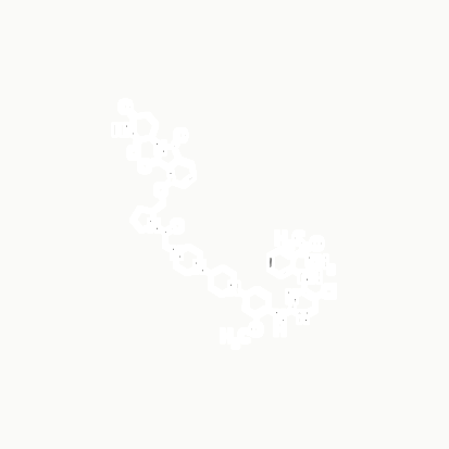 COc1cc(N2CCC(N3CCN(CC(=O)N4CCC[C@H]4COc4cccc5c4C(=O)N(C4CCC(=O)NC4=O)C5=O)CC3)CC2)ccc1Nc1ncc(Cl)c(Nc2ccccc2P(C)(C)=O)n1